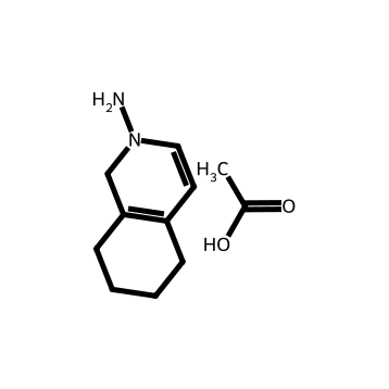 CC(=O)O.NN1C=CC2=C(CCCC2)C1